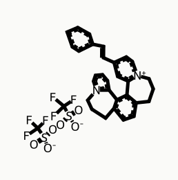 C(=C\c1cc[n+]2c(c1)-c1c(ccc3c1-c1cccc[n+]1CCC3)CCC2)/c1ccccc1.O=S(=O)([O-])C(F)(F)F.O=S(=O)([O-])C(F)(F)F